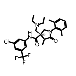 CCN(CC)C[C@@]1(C(=O)Nc2cc(Cl)cc(C(F)(F)F)c2)CN(c2c(C)cccc2C)C(=O)C1C